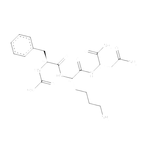 CCCCC(=O)N[C@@H](Cc1ccccc1)C(=O)N[C@@H](CCCCN)C(=O)N[C@@H](CC(N)=O)C(N)=O